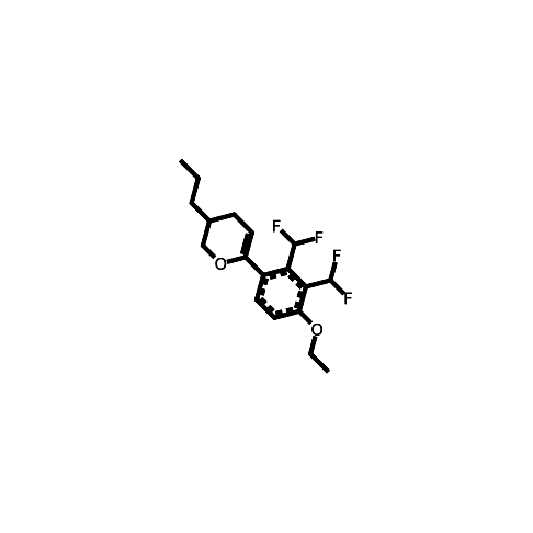 CCCC1CC=C(c2ccc(OCC)c(C(F)F)c2C(F)F)OC1